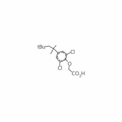 CC(C)(C)CC(C)(C)c1cc(Cl)c(OCC(=O)O)c(Cl)c1